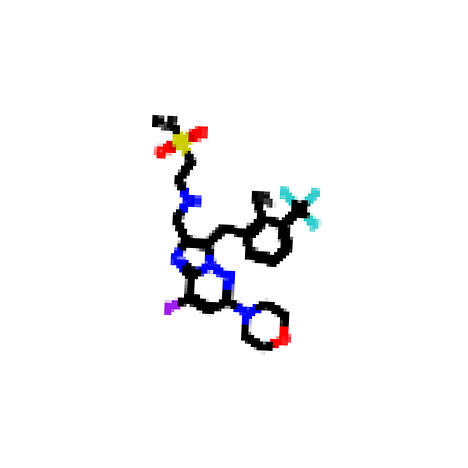 Cc1c(Cc2c(CNCCS(C)(=O)=O)nc3c(I)cc(N4CCOCC4)nn23)cccc1C(F)(F)F